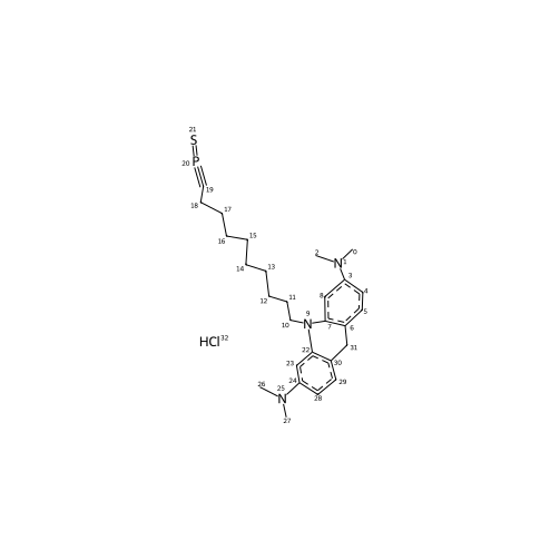 CN(C)c1ccc2c(c1)N(CCCCCCCCCC#P=S)c1cc(N(C)C)ccc1C2.Cl